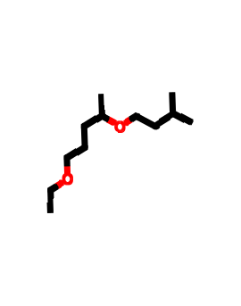 CCOCCCC(C)OCCC(C)C